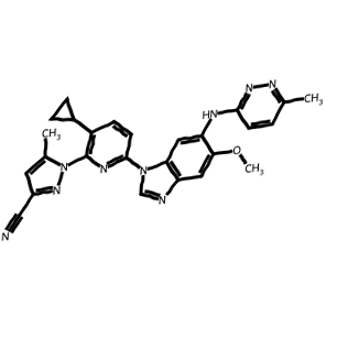 COc1cc2ncn(-c3ccc(C4CC4)c(-n4nc(C#N)cc4C)n3)c2cc1Nc1ccc(C)nn1